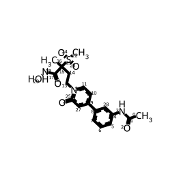 CC(=O)Nc1cccc(-c2ccn(CCC(C)(C(=O)NO)S(C)(=O)=O)c(=O)c2)c1